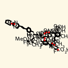 COC(=O)N[C@H](C(=O)N[C@@H](Cc1ccc(C#Cc2cnc(N3CC4CCC(C3)N4C3COC3)nc2)cc1)[C@H](CN(Cc1c(F)cc(-c2ccn(C(F)F)n2)cc1F)NC(=O)[C@@H](NC(=O)OC)C(C)(C)C(F)(F)F)OC(=O)OCOC(=O)CC(C)(C)c1c(CC(=O)NC(C)(C)CCC(=O)O)cc(C)cc1OP(=O)(O)O)C(C)(C)C(F)(F)F